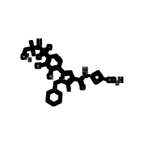 Cc1c(C(=O)N[C@H]2C[C@H](C(=O)O)C2)cc(-c2ccc(S(=O)(=O)NC(C)(C)CC(F)(F)F)c(Cl)c2Cl)n1CC1CCCCC1